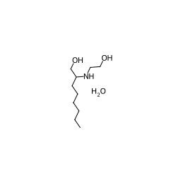 CCCCCCC(CO)NCCO.O